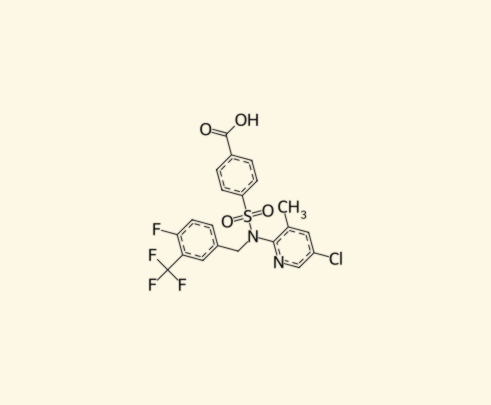 Cc1cc(Cl)cnc1N(Cc1ccc(F)c(C(F)(F)F)c1)S(=O)(=O)c1ccc(C(=O)O)cc1